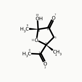 CC(=O)[C@@]1(C)CC(=O)[C@@](C)(O)O1